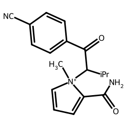 CC(C)C(C(=O)c1ccc(C#N)cc1)[N+]1(C)C=CC=C1C(N)=O